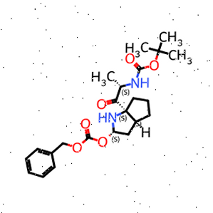 C[C@H](NC(=O)OC(C)(C)C)C(=O)[C@]12CCC[C@H]1C[C@H](OC(=O)OCc1ccccc1)N2